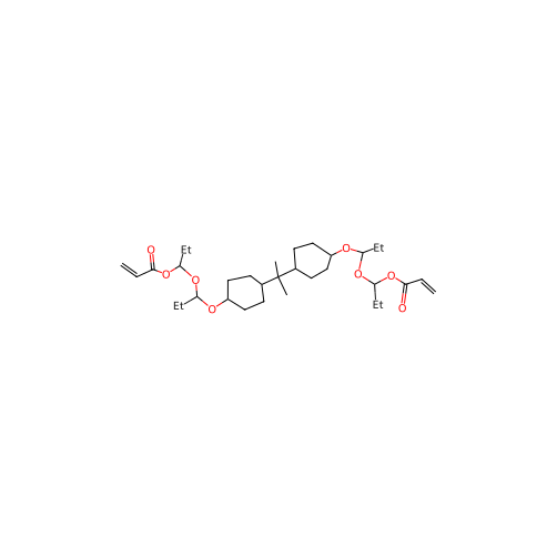 C=CC(=O)OC(CC)OC(CC)OC1CCC(C(C)(C)C2CCC(OC(CC)OC(CC)OC(=O)C=C)CC2)CC1